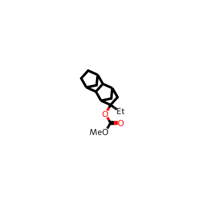 CCC1(OC(=O)OC)CC2CC1C1C3CCC(C3)C21